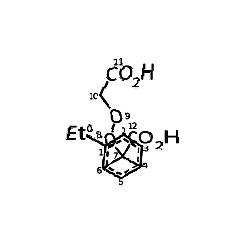 CCc1ccc2cc1C2(OOCC(=O)O)C(=O)O